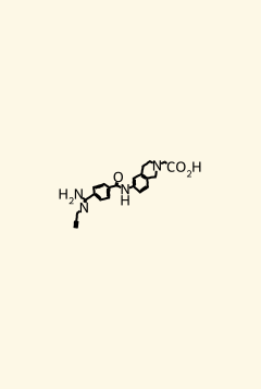 C#CCN=C(N)c1ccc(C(=O)Nc2ccc3c(c2)CCN(CC(=O)O)C3)cc1